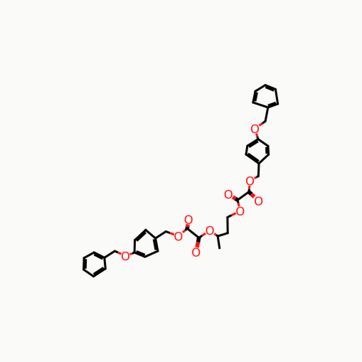 CC(CCOC(=O)C(=O)OCc1ccc(OCc2ccccc2)cc1)OC(=O)C(=O)OCc1ccc(OCc2ccccc2)cc1